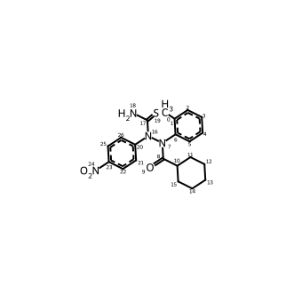 Cc1ccccc1N(C(=O)C1CCCCC1)N(C(N)=S)c1ccc([N+](=O)[O-])cc1